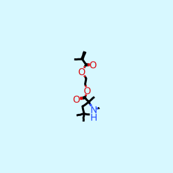 C=C(C)C(=O)OCCOC(=O)C(C)(CC(C)(C)C)NC